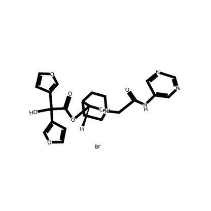 O=C(C[N+]12CCC(CC1)[C@@H](OC(=O)C(O)(c1ccoc1)c1ccoc1)C2)Nc1cncnc1.[Br-]